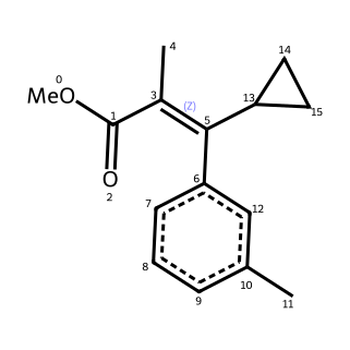 COC(=O)/C(C)=C(\c1cccc(C)c1)C1CC1